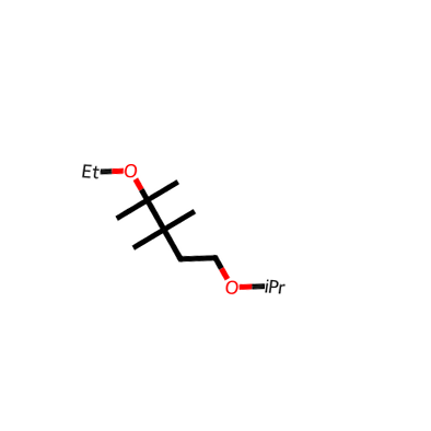 CCOC(C)(C)C(C)(C)CCOC(C)C